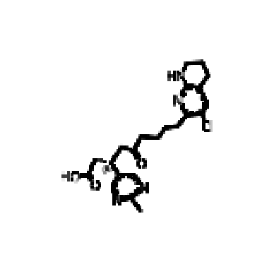 Cc1ncc([C@H](CC(=O)O)CC(=O)CCCCc2nc3c(cc2Cl)CCCN3)cn1